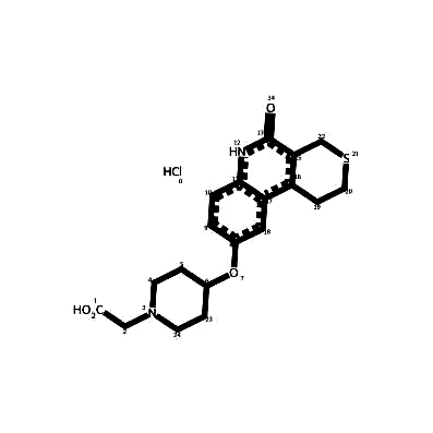 Cl.O=C(O)CN1CCC(Oc2ccc3[nH]c(=O)c4c(c3c2)CCSC4)CC1